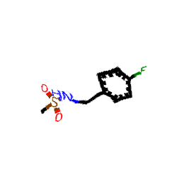 CS(=O)(=O)NCc1ccc(F)cc1